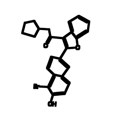 O=C(CC1CCCC1)c1c(-c2ccc3c(Br)c(O)ccc3c2)oc2ccccc12